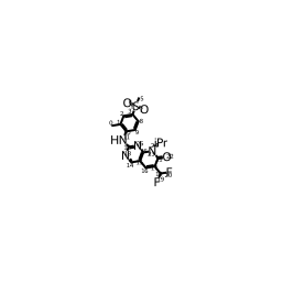 Cc1cc(S(C)(=O)=O)ccc1Nc1ncc2cc(C(F)F)c(=O)n(C(C)C)c2n1